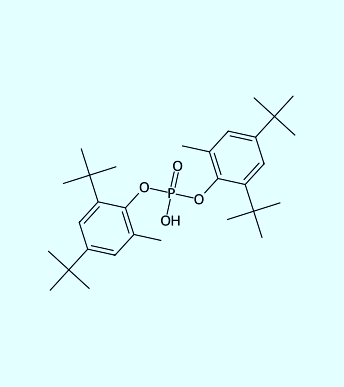 Cc1cc(C(C)(C)C)cc(C(C)(C)C)c1OP(=O)(O)Oc1c(C)cc(C(C)(C)C)cc1C(C)(C)C